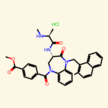 CN[C@@H](C)C(=O)N[C@H]1CN(C(=O)c2ccc(C(=O)OC)cc2)c2ccccc2N(Cc2c(C)ccc3ccccc23)C1=O.Cl